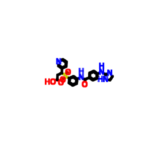 O=C(O)CC(c1cccnc1)S(=O)(=O)c1cccc(NC(=O)c2ccc(NC3=NCCN3)cc2)c1